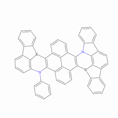 c1ccc(N2c3cccc4c3B(c3ccccc3-4)c3c2c2cccc4c5c(c6cccc3c6c42)-n2c3ccccc3c3ccc4c(c32)B5c2ccccc2-4)cc1